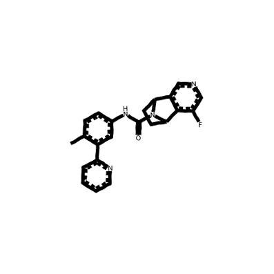 Cc1ccc(NC(=O)N2C3CCC2c2c(F)cncc23)cc1-c1ccccn1